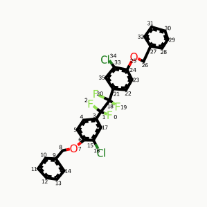 FC(F)(c1ccc(OCc2ccccc2)c(Cl)c1)C(F)(F)c1ccc(OCc2ccccc2)c(Cl)c1